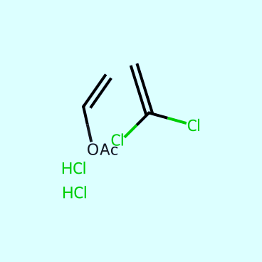 C=C(Cl)Cl.C=COC(C)=O.Cl.Cl